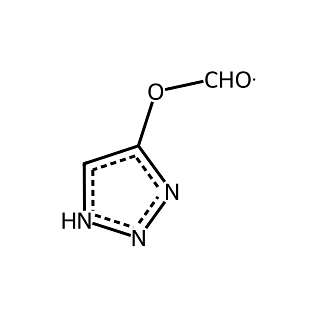 O=[C]Oc1c[nH]nn1